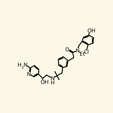 CCN(Cc1cc(O)ccc1Cl)C(=O)Cc1cccc(CC(C)(C)NC[C@@H](O)c2ccc(N)nc2)c1